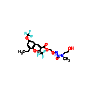 CCc1cc(OC(F)(F)F)cc2c1O[C@H](C(F)(F)F)C(C(=O)OCO/N=[N+](\[O-])N(C)CCO)=C2